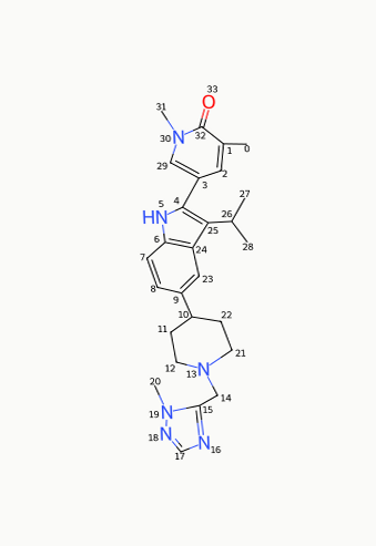 Cc1cc(-c2[nH]c3ccc(C4CCN(Cc5ncnn5C)CC4)cc3c2C(C)C)cn(C)c1=O